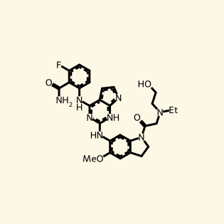 CCN(CCO)CC(=O)N1CCc2cc(OC)c(Nc3nc(Nc4cccc(F)c4C(N)=O)c4ccnc-4[nH]3)cc21